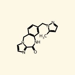 Cc1ccnn1Cc1ccc2c(c1)NC(=O)c1nccn1C2